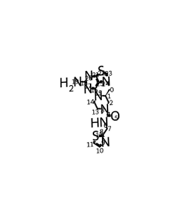 C[C@H]1CN(C(=O)NCc2nccs2)CCN1c1nc(N)nc2scnc12